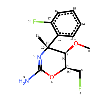 CO[C@H]1[C@@H](CF)OC(N)=N[C@]1(C)c1ccccc1F